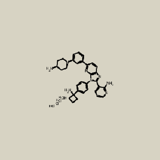 Cl.Cl.Cl.Cl.Nc1ncccc1-c1nc2ccc(-c3cccc(N4CCC(N)CC4)c3)nc2n1-c1ccc(C2(N)CCC2)cc1